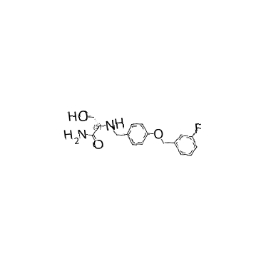 NC(=O)[C@H](CO)NCc1ccc(OCc2cccc(F)c2)cc1